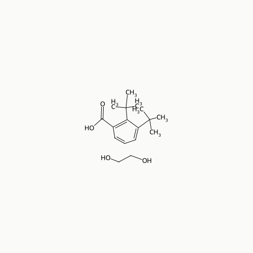 CC(C)(C)c1cccc(C(=O)O)c1C(C)(C)C.OCCO